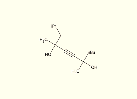 CCCCC(C)(O)C#CC(C)(O)CC(C)C